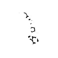 CCCCCCCCCCCC(=O)O[P@@](=O)(O)OC[C@H]1O[C@@H](n2cnc3c(N)ncnc32)[C@H](O)[C@@H]1O